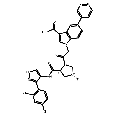 CC(=O)c1cn(CC(=O)N2C[C@H](F)C[C@H]2C(=O)Nc2c[nH]nc2-c2ccc(Cl)cc2Cl)c2ccc(-c3ccnnc3)cc12